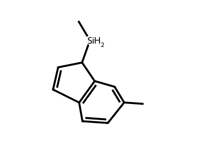 C[SiH2]C1C=Cc2ccc(C)cc21